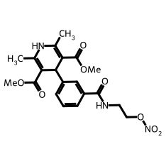 COC(=O)C1=C(C)NC(C)=C(C(=O)OC)C1c1cccc(C(=O)NCCO[N+](=O)[O-])c1